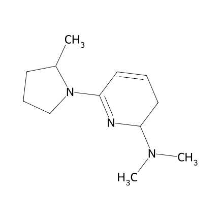 CC1CCCN1C1=NC(N(C)C)CC=C1